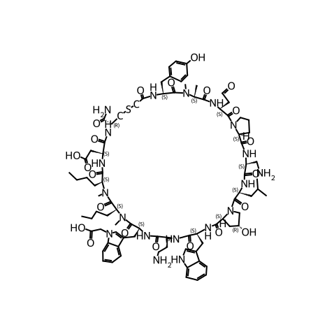 CCCC[C@H]1C(=O)N(C)[C@@H](CCCC)C(=O)N[C@@H](CC(=O)O)C(=O)N[C@H](C(N)=O)CSCC(=O)N[C@@H](Cc2ccc(O)cc2)C(=O)N(C)[C@@H](C)C(=O)N[C@@H](CC=O)C(=O)N2CCC[C@H]2C(=O)N[C@@H](CN)C(=O)N[C@@H](CC(C)C)C(=O)N2C[C@H](O)C[C@H]2C(=O)N[C@@H](Cc2c[nH]c3ccccc23)C(=O)N[C@@H](CCN)C(=O)N[C@@H](Cc2cn(CC(=O)O)c3ccccc23)C(=O)N1C